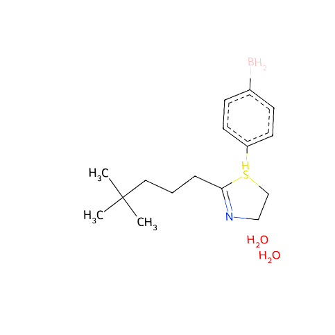 Bc1ccc([SH]2CCN=C2CCCC(C)(C)C)cc1.O.O